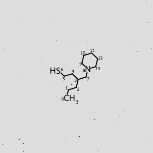 CCCC(CCS)CN1CCCCC1